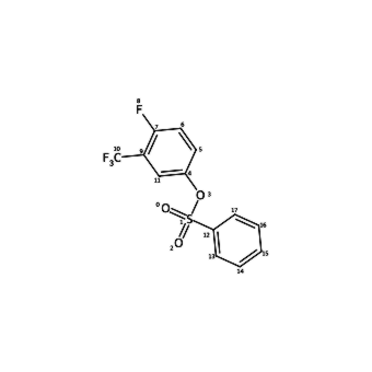 O=S(=O)(Oc1ccc(F)c(C(F)(F)F)c1)c1ccccc1